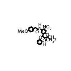 COc1ccc(CC(=O)Nc2cc3c(cc2[N+](=O)[O-])OC(C)(C)[C@@H](O)[C@@H]3Oc2ccccc2)cc1